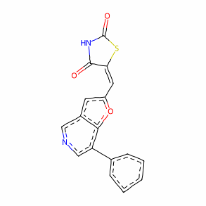 O=C1NC(=O)/C(=C\c2cc3cncc(-c4ccccc4)c3o2)S1